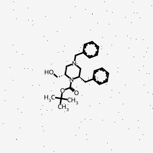 CC(C)(C)OC(=O)N1[C@H](CO)CN(Cc2ccccc2)C[C@H]1Cc1ccccc1